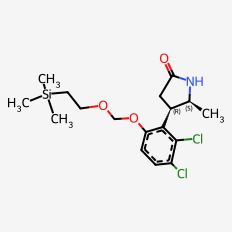 C[C@@H]1NC(=O)C[C@@H]1c1c(OCOCC[Si](C)(C)C)ccc(Cl)c1Cl